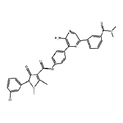 Cc1c(C(=O)Nc2ccc(-c3nc(-c4cccc(C(=O)N(C)C)c4)cnc3N)cc2)c(=O)n(-c2cccc(Cl)c2)n1C